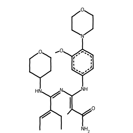 C/C=C(CC)/C(=N\C(Nc1ccc(N2CCOCC2)c(OC)c1)=C(/C)C(N)=O)NC1CCOCC1